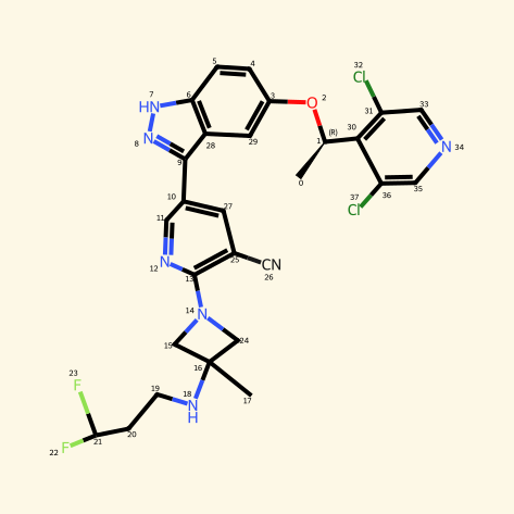 C[C@@H](Oc1ccc2[nH]nc(-c3cnc(N4CC(C)(NCCC(F)F)C4)c(C#N)c3)c2c1)c1c(Cl)cncc1Cl